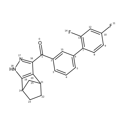 O=C(c1cccc(-c2ccc(F)cc2F)c1)c1n[nH]c2c1C1CCC2C1